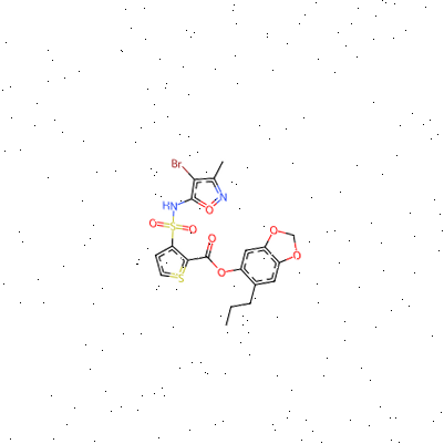 CCCc1cc2c(cc1OC(=O)c1sccc1S(=O)(=O)Nc1onc(C)c1Br)OCO2